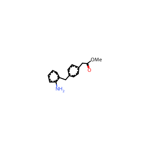 COC(=O)Cc1ccc(Cc2ccccc2N)cc1